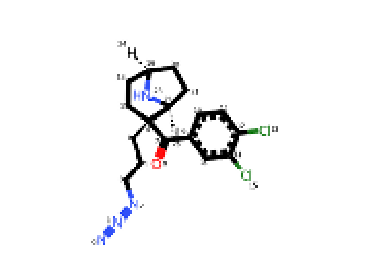 [N-]=[N+]=NCCC[C@@]1(C(=O)c2ccc(Cl)c(Cl)c2)CC[C@H]2CC[C@@H]1N2